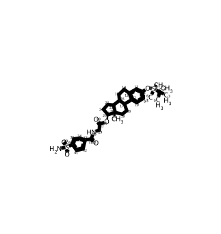 CC(C)(C)[Si](C)(C)Oc1ccc2c(c1)CCC1C2CC[C@@]2(C)C1CC[C@@H]2OC(=O)CNC(=O)c1ccc(S(N)(=O)=O)cc1